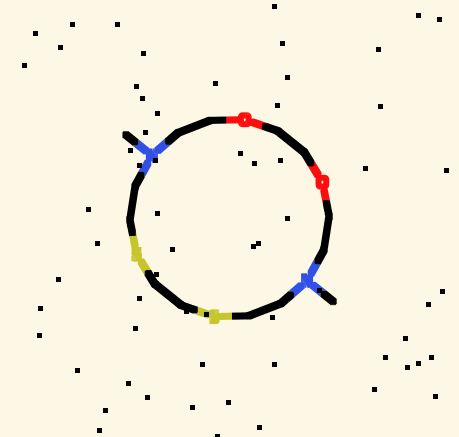 CN1CCOCCOCCN(C)CCSCCSCC1